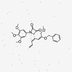 C=C/C=C(\C=C(/COC)OCc1ccccc1)[C@H]1C(=O)C(=O)N1c1cc(OC)c(OC)c(OC)c1